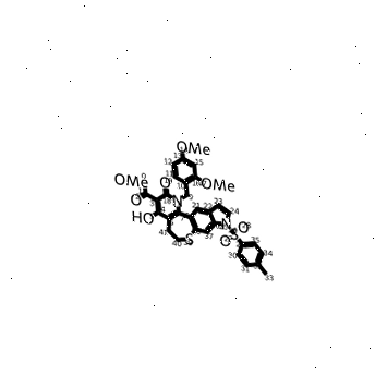 COC(=O)c1c(O)c2c(n(Cc3ccc(OC)cc3OC)c1=O)-c1cc3ccn(S(=O)(=O)c4ccc(C)cc4)c3cc1SCC2